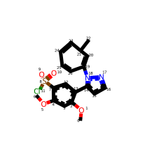 COc1cc(OC)c(S(=O)(=O)Cl)cc1-c1ccnn1C1=CC(C)C=CC=C1